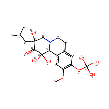 COc1cc2c(cc1OC(O)(O)O)CCN1CC(O)(CC(C)C)C(=O)C(O)(O)C21